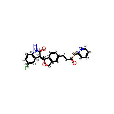 O=C(CCc1ccc2c(c1)COC2=C1C(=O)Nc2ccc(F)cc21)Sc1ccccn1